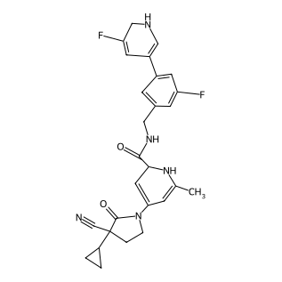 CC1=CC(N2CCC(C#N)(C3CC3)C2=O)=CC(C(=O)NCc2cc(F)cc(C3=CNCC(F)=C3)c2)N1